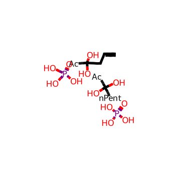 C=CCC(O)(O)C(C)=O.CCCCCC(O)(O)C(C)=O.O=P(O)(O)O.O=P(O)(O)O